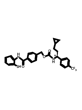 O=C(N[C@@H](CCC1CC1)c1ccc(C(F)(F)F)cc1)OCc1ccc(C(=O)Nc2ccccc2S)cc1